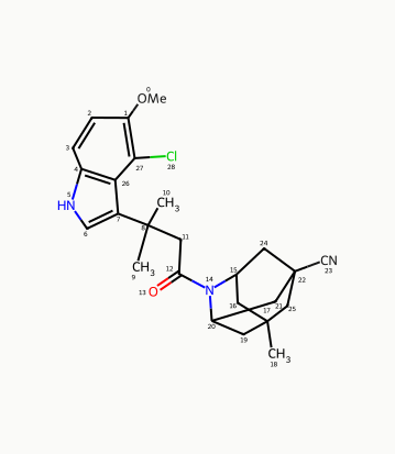 COc1ccc2[nH]cc(C(C)(C)CC(=O)N3C4CC5(C)CC3CC(C#N)(C4)C5)c2c1Cl